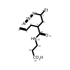 C=CCC(CC(CC)N=[N+]=[N-])C(=O)NCCC(=O)O